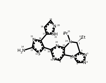 CC[C@@H]1c2nncn2-c2cnc(-c3sc(N)nc3-c3ccn[nH]3)nc2N1C(C)C